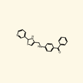 O=C(c1ccccc1)c1ccc(NCC2=CSC(c3cccnc3)N2)cc1